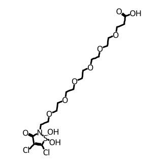 O=C(O)CCOCCOCCOCCOCCOCCOCCN1C(=O)C(Cl)=C(Cl)S1(O)O